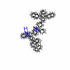 c1ccc(-n2c(-c3ccc(-c4ccc5c(-c6ccc7ccccc7c6)c6ccccc6c(-c6ccc7ccccc7c6)c5c4)cc3)nc3cc(CCC4Nc5ccccc5N4c4ccc(-c5c6ccccc6c(-c6cccc7ccccc67)c6ccccc56)cc4)ccc32)cc1